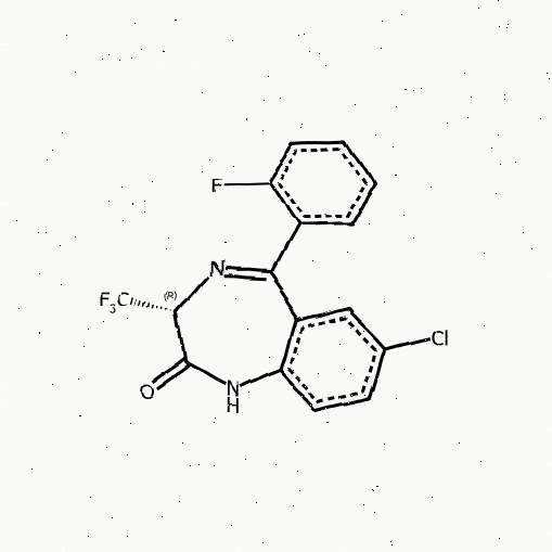 O=C1Nc2ccc(Cl)cc2C(c2ccccc2F)=N[C@H]1C(F)(F)F